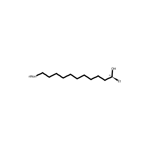 CCCCCCCCCCCCCCCCCCC[C@@H](O)CC